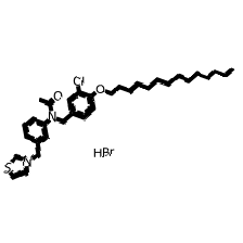 Br.CCCCCCCCCCCCCCOc1ccc(CN(C(C)=O)c2cccc(CN3C=CSC3)c2)cc1Cl